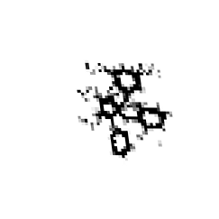 CC1=C(C)C(Cc2c(C)cccc2C)([SiH2]c2cc(C)cc(C)c2)C(c2ccccc2)=C1C